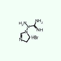 Br.N=C(N)N(N)N1C=NCC1